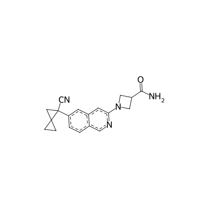 N#CC1(c2ccc3cnc(N4CC(C(N)=O)C4)cc3c2)CC12CC2